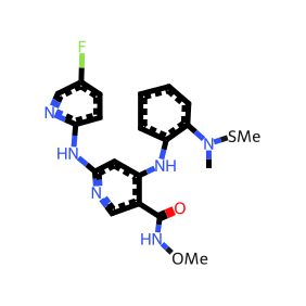 CONC(=O)c1cnc(Nc2ccc(F)cn2)cc1Nc1ccccc1N(C)SC